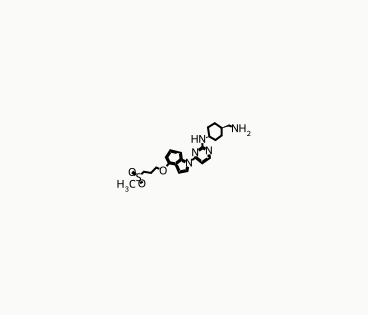 CS(=O)(=O)CCCOc1cccc2c1ccn2-c1ccnc(N[C@H]2CC[C@H](CN)CC2)n1